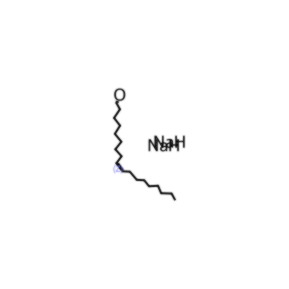 CCCCCCCC/C=C\CCCCCCCC=O.[NaH].[NaH]